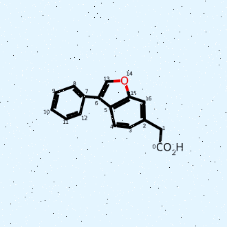 O=C(O)Cc1ccc2c(-c3ccccc3)coc2c1